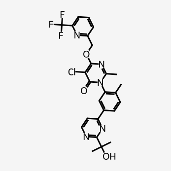 Cc1ccc(-c2ccnc(C(C)(C)O)n2)cc1-n1c(C)nc(OCc2cccc(C(F)(F)F)n2)c(Cl)c1=O